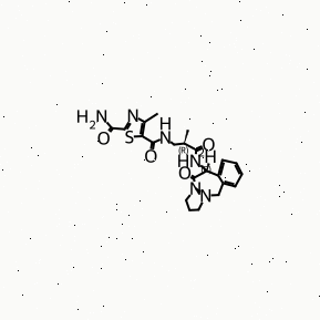 [2H][C@]1(NC(=O)[C@H](C)CNC(=O)c2sc(C(N)=O)nc2C)C(=O)N2CCCN2Cc2ccccc21